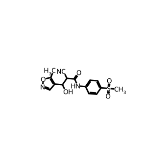 Cc1oncc1C(O)C(C#N)C(=O)Nc1ccc(S(C)(=O)=O)cc1